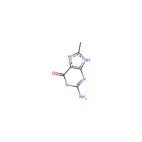 Cc1nc2c([nH]1)N=C(N)[N]C2=O